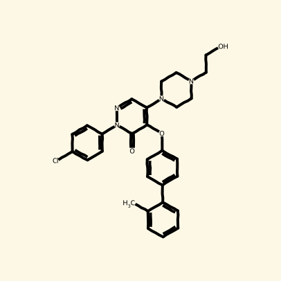 Cc1ccccc1-c1ccc(Oc2c(N3CCN(CCO)CC3)cnn(-c3ccc(Cl)cc3)c2=O)cc1